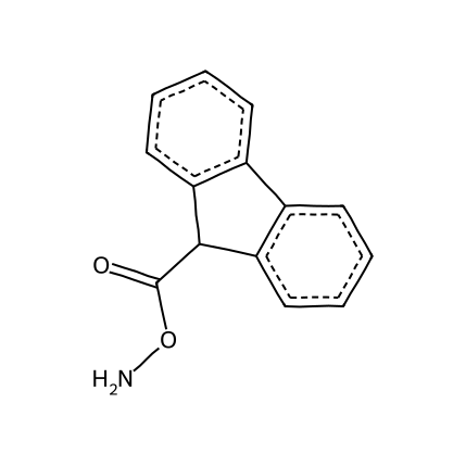 NOC(=O)C1c2ccccc2-c2ccccc21